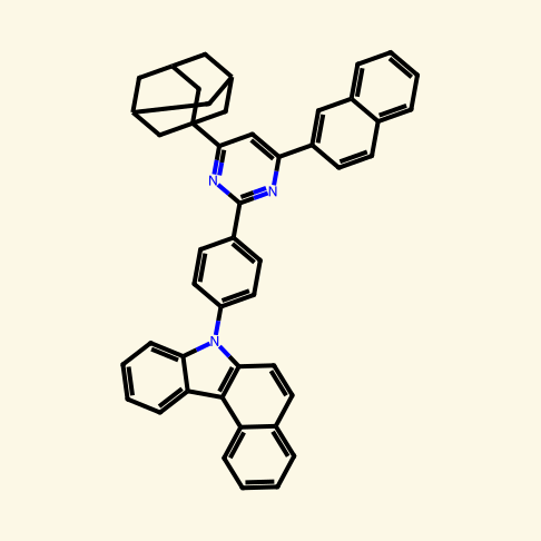 c1ccc2cc(-c3cc(C45CC6CC(CC(C6)C4)C5)nc(-c4ccc(-n5c6ccccc6c6c7ccccc7ccc65)cc4)n3)ccc2c1